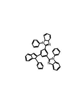 C1=CC2N=C(c3cc(C4=Cc5ccccc5C4c4ccccc4)cc(-c4nc5ccccc5n4-c4ccccc4)c3)N(c3ccccc3)C2C=C1